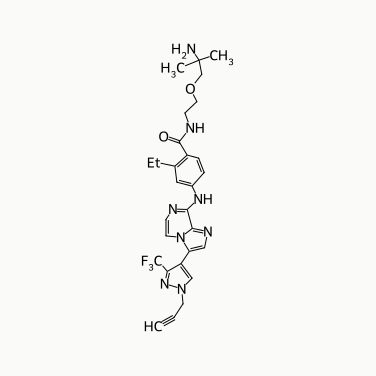 C#CCn1cc(-c2cnc3c(Nc4ccc(C(=O)NCCOCC(C)(C)N)c(CC)c4)nccn23)c(C(F)(F)F)n1